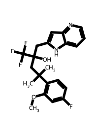 COc1cc(F)ccc1C(C)(C)CC(O)(Cc1cc2ncccc2[nH]1)C(F)(F)F